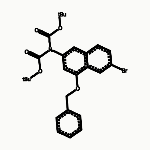 CC(C)(C)OC(=O)N(C(=O)OC(C)(C)C)c1cc(OCc2ccccc2)c2cc(Br)ccc2c1